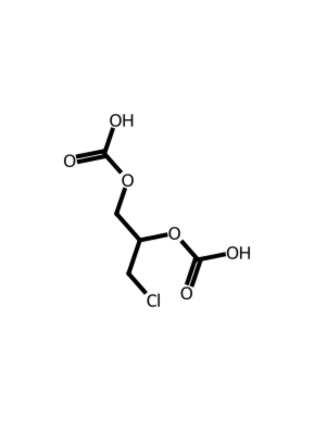 O=C(O)OCC(CCl)OC(=O)O